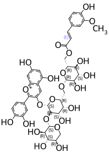 COc1cc(/C=C/C(=O)OC[C@H]2O[C@@H](OC[C@H]3O[C@@H](Oc4cc5c(O)cc(O)cc5[o+]c4-c4ccc(O)c(O)c4)[C@H](O[C@@H]4OC[C@@H](O)[C@H](O)[C@H]4O)[C@@H](O)[C@H]3O)[C@H](O)[C@@H](O)[C@@H]2O)ccc1O